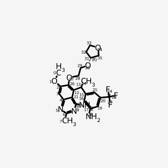 COc1cc2nc(C)nc(N)c2c(C(C)c2cc(N)cc(C(F)(F)F)c2)c1OCCO[C@@H]1CCOC1